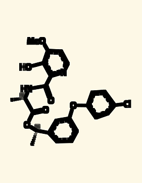 COc1ccnc(C(=O)N[C@@H](C)C(=O)O[C@@H](C)c2cccc(Oc3ccc(Cl)cc3)c2)c1O